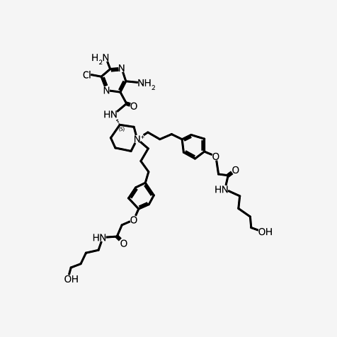 Nc1nc(N)c(C(=O)N[C@H]2CCC[N+](CCCc3ccc(OCC(=O)NCCCCO)cc3)(CCCc3ccc(OCC(=O)NCCCCO)cc3)C2)nc1Cl